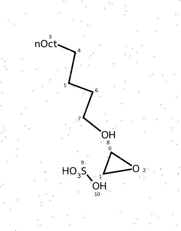 C1CO1.CCCCCCCCCCCCO.O=S(=O)(O)O